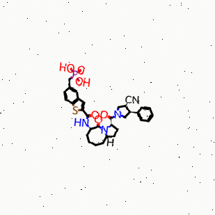 N#C[C@H]1CN(C(=O)[C@@H]2CC[C@@H]3CCCC[C@H](NC(=O)c4cc5cc(CP(=O)(O)O)ccc5s4)C(=O)N32)C[C@@H]1c1ccccc1